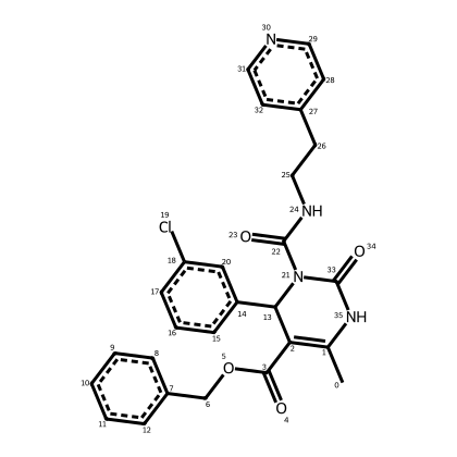 CC1=C(C(=O)OCc2ccccc2)C(c2cccc(Cl)c2)N(C(=O)NCCc2ccncc2)C(=O)N1